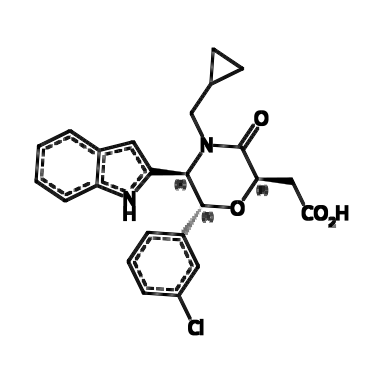 O=C(O)C[C@H]1O[C@H](c2cccc(Cl)c2)[C@@H](c2cc3ccccc3[nH]2)N(CC2CC2)C1=O